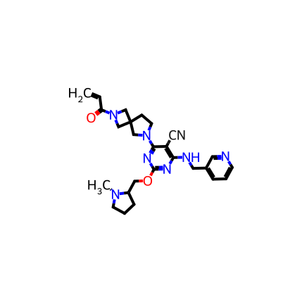 C=CC(=O)N1CC2(CCN(c3nc(OCC4CCCN4C)nc(NCc4cccnc4)c3C#N)C2)C1